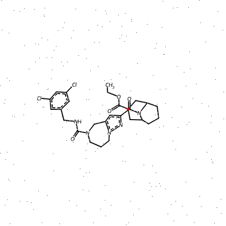 CCOC(=O)C1CC2CCCC(C1)N2C(=O)c1cc2n(n1)CCCN(C(=O)NCc1cc(Cl)cc(Cl)c1)C2